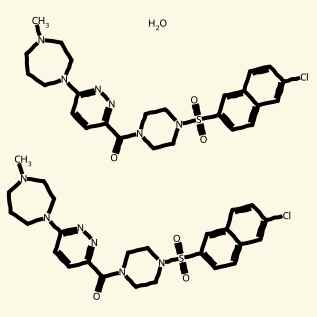 CN1CCCN(c2ccc(C(=O)N3CCN(S(=O)(=O)c4ccc5cc(Cl)ccc5c4)CC3)nn2)CC1.CN1CCCN(c2ccc(C(=O)N3CCN(S(=O)(=O)c4ccc5cc(Cl)ccc5c4)CC3)nn2)CC1.O